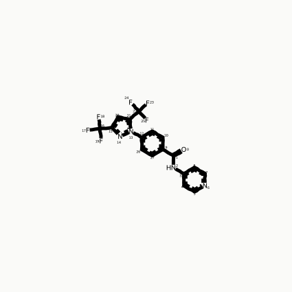 O=C(Nc1ccncc1)c1ccc(-n2nc(C(F)(F)F)cc2C(F)(F)F)cc1